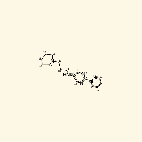 c1ccc(-c2ncc(NCCCN3CCCCC3)cn2)nc1